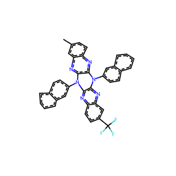 Cc1ccc2nc3c(nc2c1)N(c1ccc2ccccc2c1)c1nc2ccc(C(F)(F)F)cc2nc1N3c1ccc2ccccc2c1